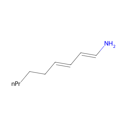 CCCCCC=CC=CN